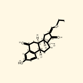 CCOC=C1C[C@H]2[C@@H]3CC(=O)c4cc(O)ccc4[C@H]3CC[C@]2(C)C1=O